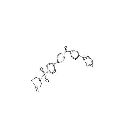 O=C(c1ccc(-c2ccc(S(=O)(=O)N3CCNCC3)cc2)cc1)c1ccc(-n2ccnc2)cc1